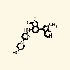 Cn1cc(-c2ccc(Nc3ccc(N4CCC(O)CC4)cn3)c3c2CNC3=O)c2ccnnc21